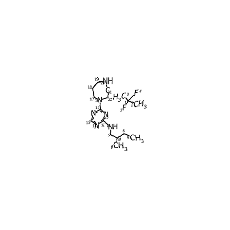 CC(C)(F)F.CC[C@H](C)CNc1ncnc(N2CCCNCC2)n1